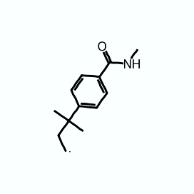 [CH2]CC(C)(C)c1ccc(C(=O)NC)cc1